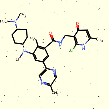 CCN(c1cc(-c2cnc(C)cn2)cc(C(=O)NCc2c(Cl)[nH]c(C)cc2=O)c1C)[C@H]1CC[C@H](N(C)C)CC1